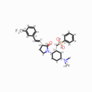 CC(C)N(C)[C@@H]1CC[C@H](N2CC[C@H](/C=C/c3cccc(C(F)(F)F)c3)C2=O)[C@H](CS(=O)(=O)c2ccccc2)C1